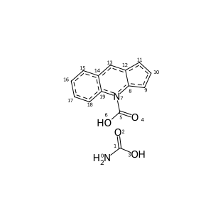 NC(=O)O.O=C(O)n1c2cccc-2cc2ccccc21